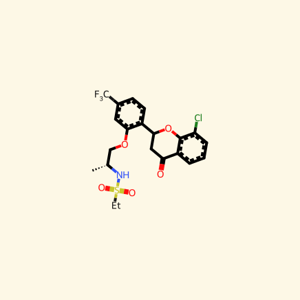 CCS(=O)(=O)N[C@H](C)COc1cc(C(F)(F)F)ccc1C1CC(=O)c2cccc(Cl)c2O1